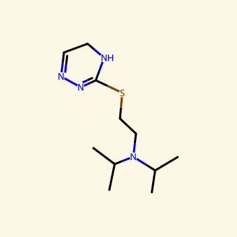 CC(C)N(CCSC1=NN=CCN1)C(C)C